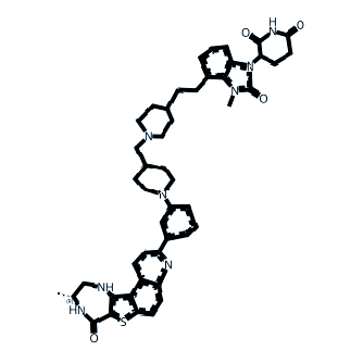 C[C@@H]1CNc2c(sc3ccc4nc(-c5cccc(N6CCC(CN7CCC(CCc8cccc9c8n(C)c(=O)n9C8CCC(=O)NC8=O)CC7)CC6)c5)ccc4c23)C(=O)N1